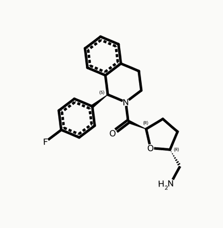 NC[C@H]1CC[C@H](C(=O)N2CCc3ccccc3[C@@H]2c2ccc(F)cc2)O1